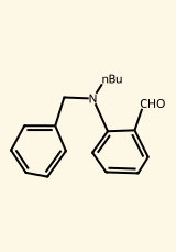 CCCCN(Cc1ccccc1)c1ccccc1C=O